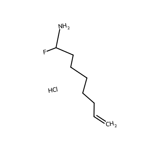 C=CCCCCCC(N)F.Cl